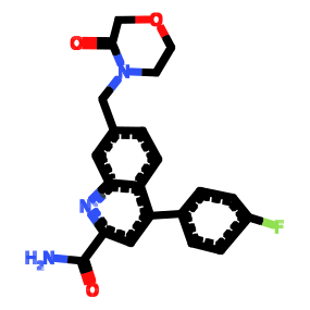 NC(=O)c1cc(-c2ccc(F)cc2)c2ccc(CN3CCOCC3=O)cc2n1